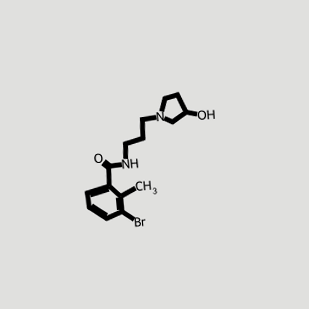 Cc1c(Br)cccc1C(=O)NCCCN1CCC(O)C1